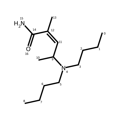 CCCCN(CCCC)C(C)C=C(C)C(N)=O